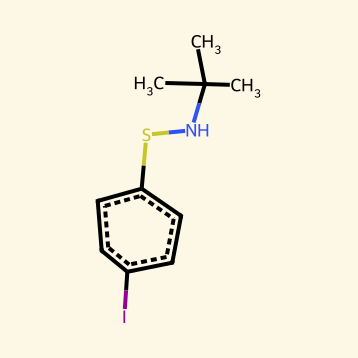 CC(C)(C)NSc1ccc(I)cc1